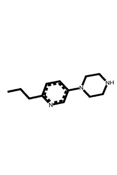 CCCc1ccc(N2CCNCC2)cn1